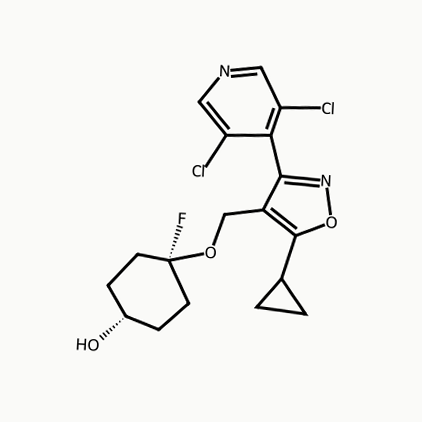 O[C@H]1CC[C@](F)(OCc2c(-c3c(Cl)cncc3Cl)noc2C2CC2)CC1